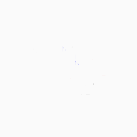 CC(C)CC(NC(CN(C)Cc1ccccc1)C(=O)O)C(=O)O